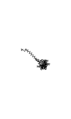 CCCCCCCCCCCCCOCC(CO)(CO)COP(=O)(O)OP(=O)(O)OP(=O)(O)OP(=O)(O)O